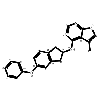 Cc1csc2ncnc(NC3Cc4ccc(Oc5ccccc5)cc4C3)c12